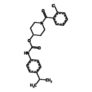 CC(C)c1ccc(NC(=O)OC2CCN(C(=O)c3ccccc3Cl)CC2)cc1